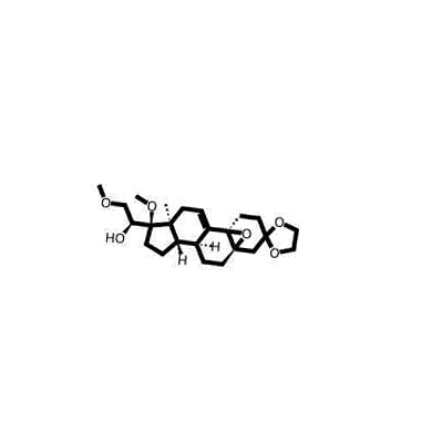 COC[C@H](O)[C@@]1(OC)CC[C@H]2[C@@H]3CC[C@@]45CC6(CC[C@@]4(O5)C3=CC[C@@]21C)OCCO6